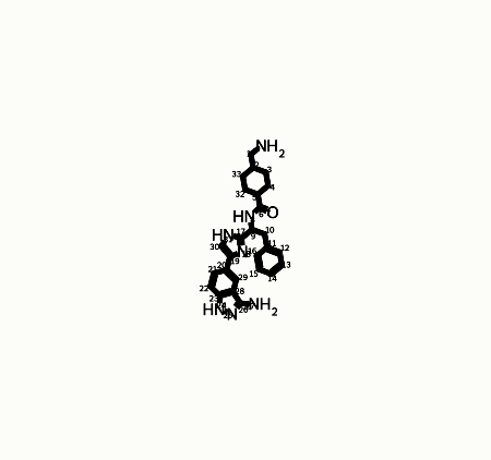 NCC1CCC(C(=O)NC(Cc2ccccc2)c2nc(-c3ccc4[nH]nc(N)c4c3)c[nH]2)CC1